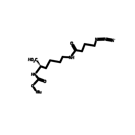 CC(C)(C)OC(=O)N[C@@H](CCCCNC(=O)CCCN=[N+]=[N-])C(=O)O